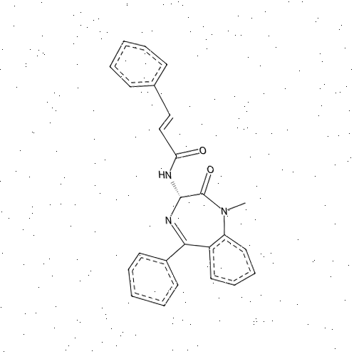 CN1C(=O)[C@@H](NC(=O)/C=C/c2ccccc2)N=C(c2ccccc2)c2ccccc21